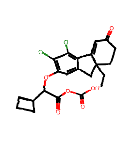 CCC12CCC(=O)C=C1c1c(cc(OC(C(=O)OC(=O)O)C3CCC3)c(Cl)c1Cl)C2